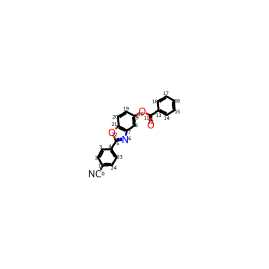 N#Cc1ccc(-c2nc3cc(OC(=O)c4ccccc4)ccc3o2)cc1